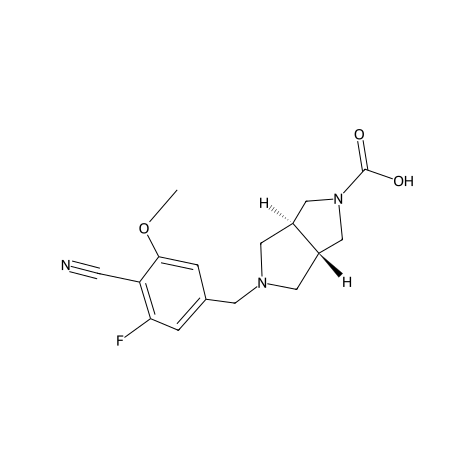 COc1cc(CN2C[C@H]3CN(C(=O)O)C[C@@H]3C2)cc(F)c1C#N